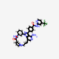 Nc1ncc2c3c1c(-c1ccc(C(=O)Nc4cc(C(F)(F)F)ccn4)cc1)nn3[C@@H]1CCC[C@H](C1)NC(=O)[C@@H]1CCN(C/C=C/2)C1